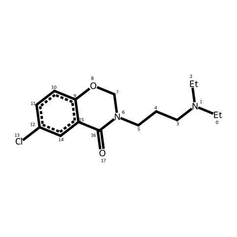 CCN(CC)CCCN1COc2ccc(Cl)cc2C1=O